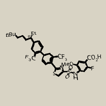 CC[C@H](CCCC(C)(C)C)c1ccc(-c2ccc(-c3nc(S(=O)(=O)Nc4cc(F)c(C(=O)O)cc4OC)cs3)c(C(F)(F)F)c2)c(C(F)(F)F)c1